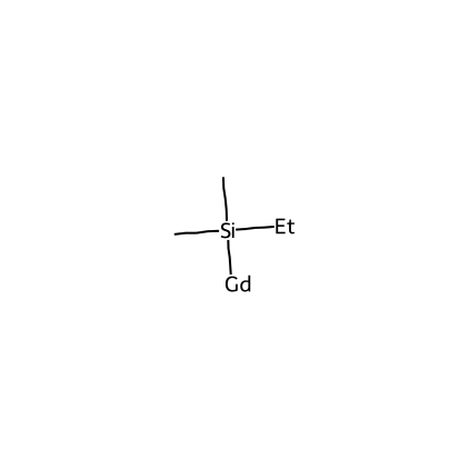 CC[Si](C)(C)[Gd]